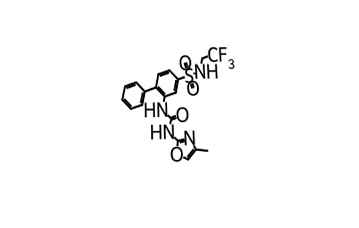 Cc1coc(NC(=O)Nc2cc(S(=O)(=O)NCC(F)(F)F)ccc2-c2ccccc2)n1